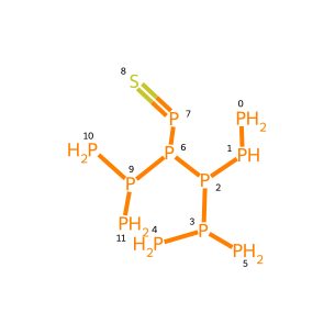 PPP(P(P)P)P(P=S)P(P)P